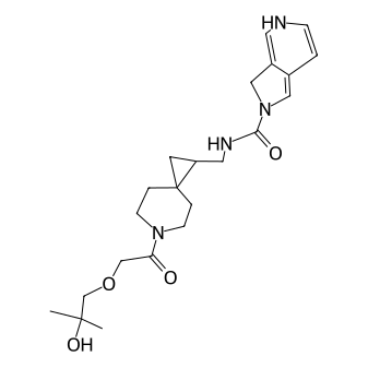 CC(C)(O)COCC(=O)N1CCC2(CC1)CC2CNC(=O)N1C=C2C=CNC=C2C1